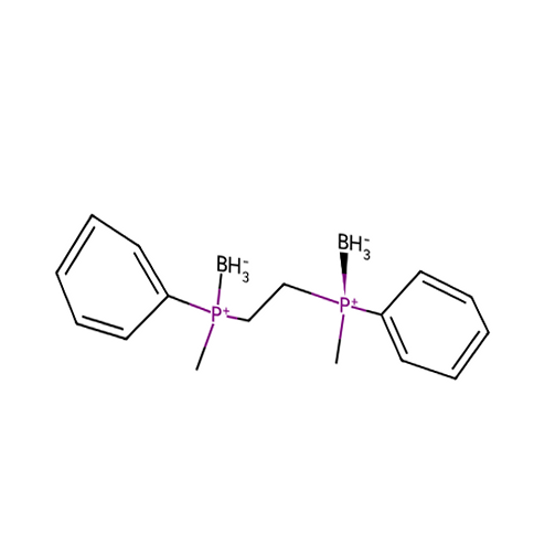 [BH3-][P+](C)(CC[P@@+]([BH3-])(C)c1ccccc1)c1ccccc1